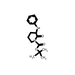 CC(C)(C)OC(=O)N1CCCC([Se]c2ccccc2)C1=O